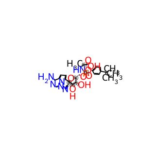 C[C@H](N[P@](=O)(OC[C@H]1O[C@@](C#N)(c2ccc3c(N)ncnn23)[C@H](O)[C@@H]1O)Oc1ccc(C(C)(C)C)cc1)C(=O)O